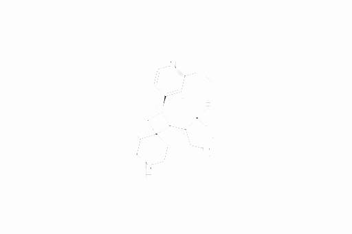 COc1cc([C@@H]2CC3(CCNCC3)C2C(CO)C(F)(F)F)ccn1